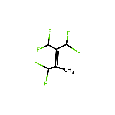 CC(=C(C(F)F)C(F)F)C(F)F